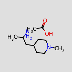 CC(=O)O.CC(N)CC1CCN(C)CC1